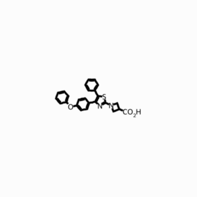 O=C(O)C1CN(c2nc(-c3ccc(Oc4ccccc4)cc3)c(-c3ccccc3)s2)C1